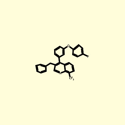 Fc1ccc(Oc2cccc(-c3c(Cc4ccccc4)cnc4c(C(F)(F)F)cccc34)c2)cc1